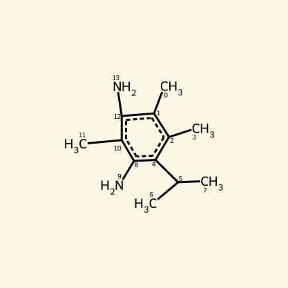 Cc1c(C)c(C(C)C)c(N)c(C)c1N